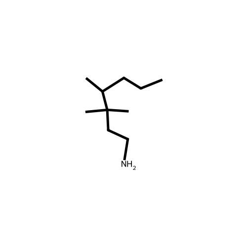 CCCC(C)C(C)(C)CCN